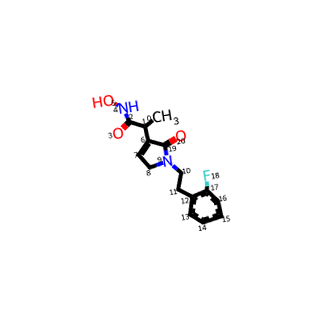 CC(C(=O)NO)C1=CCN(CCc2ccccc2F)C1=O